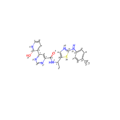 CC(NC(=O)c1cc(-c2cccnc2O)ncn1)c1cnc(Nc2ccc(C(F)(F)F)cc2)s1